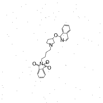 O=C1c2ccccc2S(=O)(=O)N1CCCCN1CCC(Oc2nccc3ccccc23)C1